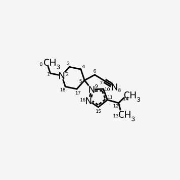 CCN1CCC(CC#N)(n2cc(C(C)C)cn2)CC1